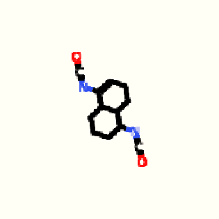 O=C=NC1=CCCC2C(N=C=O)CCCC12